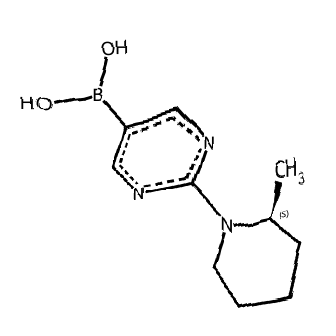 C[C@H]1CCCCN1c1ncc(B(O)O)cn1